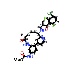 COC(=O)Nc1ccc2c(c1)NC(=O)[C@H](C)CCC[C@H](NCC(C)C(=O)c1c(F)ccc(Cl)c1F)c1cc-2ccn1